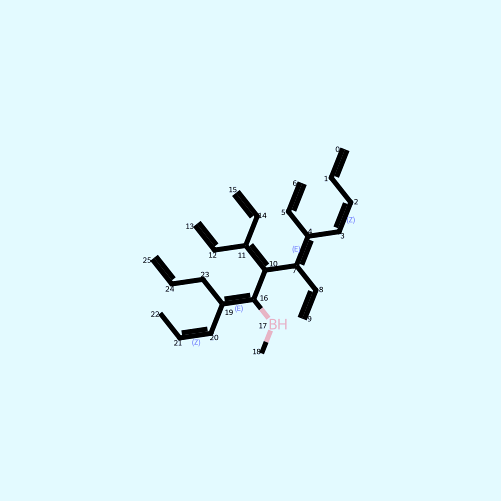 C=C/C=C\C(C=C)=C(/C=C)C(=C(C=C)C=C)/C(BC)=C(/C=C\C)CC=C